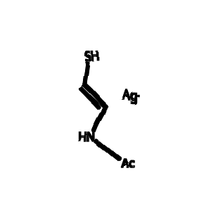 CC(=O)NC=CS.[Ag]